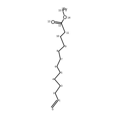 C=CCCCCCCCCCCC(=O)OC(C)C